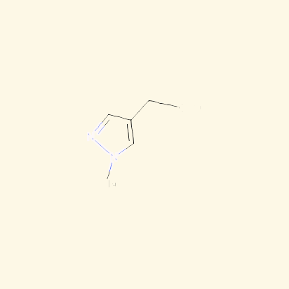 CC(C)(C)n1cc(CC=O)cn1